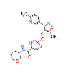 Cc1ccc(-c2noc(C)c2COc2cnc(C(=O)N[C@@H]3CCCOC3)cn2)cn1